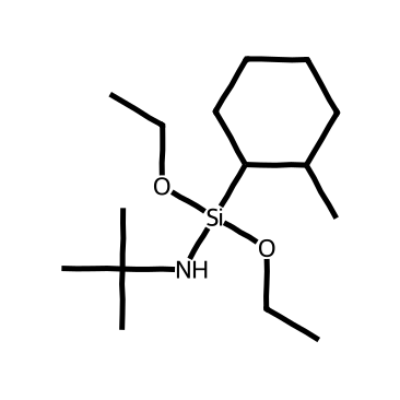 CCO[Si](NC(C)(C)C)(OCC)C1CCCCC1C